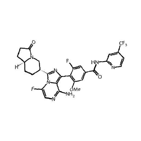 COc1cc(C(=O)Nc2cc(C(F)(F)F)ccn2)cc(F)c1-c1nc([C@@H]2CC[C@H]3CCC(=O)N3C2)n2c(F)cnc(N)c12